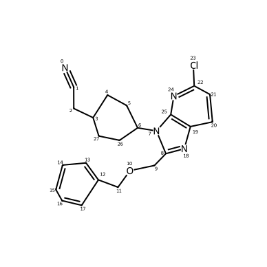 N#CCC1CCC(n2c(COCc3ccccc3)nc3ccc(Cl)nc32)CC1